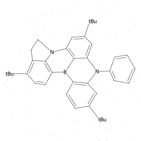 CC(C)(C)c1ccc2c(c1)N(c1ccccc1)c1cc(C(C)(C)C)cc3c1B2c1ccc(C(C)(C)C)c2c1N3CC2